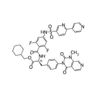 Cn1c(=O)n(-c2ccc(C[C@H](NC(=O)c3c(F)cc(NS(=O)(=O)c4ccc(-c5ccncc5)nc4)cc3F)C(=O)OCC3CCCCC3)cc2)c(=O)c2ccncc21